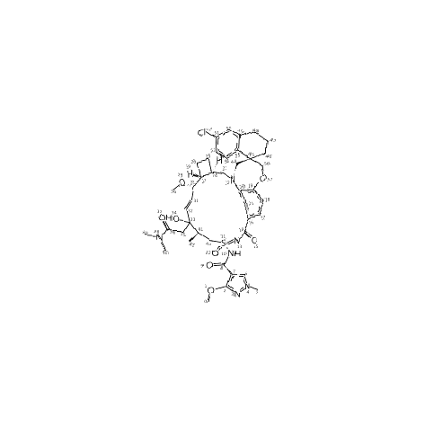 COc1nn(C)cc1C(=O)N[S@@]1(=O)=NC(=O)c2ccc3c(c2)N(C[C@@H]2CC[C@H]2[C@@H](OC)/C=C/C(O)(CC(=O)N(C)C)[C@H](C)C1)C[C@@]1(CCCc2cc(Cl)ccc21)CO3